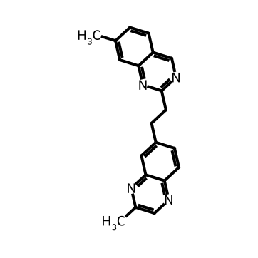 Cc1ccc2cnc(CCc3ccc4ncc(C)nc4c3)nc2c1